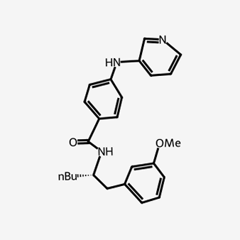 CCCC[C@@H](Cc1cccc(OC)c1)NC(=O)c1ccc(Nc2cccnc2)cc1